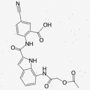 CC(=O)OCC(=O)Nc1cccc2cc(C(=O)Nc3ccc(C#N)cc3C(=O)O)[nH]c12